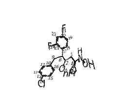 CCCO[C@H](CC(=O)NO)C(Cc1ccc(Cl)cc1)c1ccc(F)cc1F